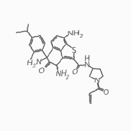 C=CC(=O)N1CCC(NC(=O)c2sc3c(N)ccc4c3c2C(N)C(=O)C4(N)c2ccc(C(C)C)cc2C)C1